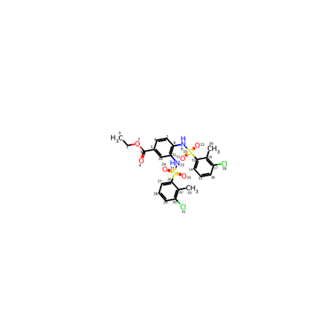 CCOC(=O)c1ccc(NS(=O)(=O)c2cccc(Cl)c2C)c(NS(=O)(=O)c2cccc(Cl)c2C)c1